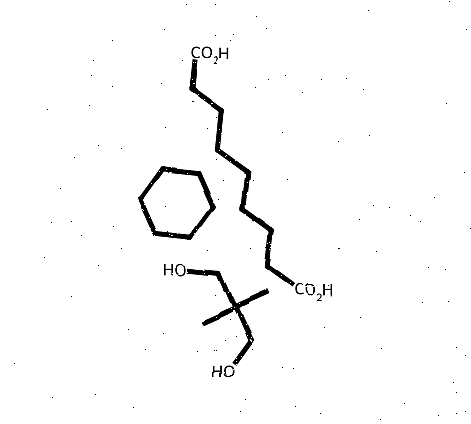 C1CCCCC1.CC(C)(CO)CO.O=C(O)CCCCCCCC(=O)O